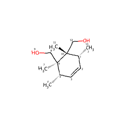 C[C@@H]1C=C[C@H](C)[C@@](C)(CO)[C@]1(C)CO